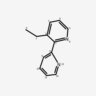 CCc1cccnc1-c1ccccn1